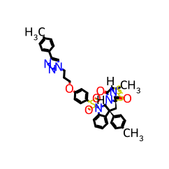 Cc1ccc(-c2cn(CCCOc3ccc(S(=O)(=O)N4c5ccccc5[C@@]5(c6ccc(C)cc6)C[C@@]67SS[C@@H](C(=O)N6[C@@H]45)N(C)C7=O)cc3)nn2)cc1